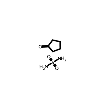 NS(N)(=O)=O.O=C1CCCC1